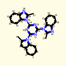 Cc1cc2ccccc2n1-c1nc(-n2c(C)nc3ccccc32)nc(-n2c(C)nc3ccccc32)n1